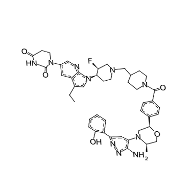 CCc1cn([C@@H]2CCN(CC3CCN(C(=O)c4ccc([C@@H]5CN(c6cc(-c7ccccc7O)nnc6N)[C@H](C)CO5)cc4)CC3)C[C@@H]2F)c2ncc(N3CCC(=O)NC3=O)cc12